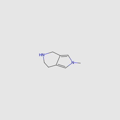 Cn1cc2c(c1)CNCC2